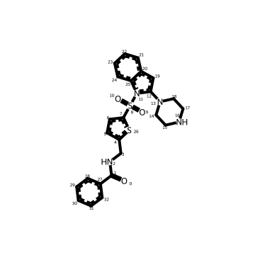 O=C(NCc1ccc(S(=O)(=O)n2c(N3CCNCC3)cc3ccccc32)s1)c1ccccc1